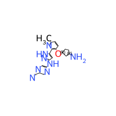 Cc1ccc(O[C@@H]2CC[C@@H](N)C2)c(-c2cc(Nc3cnc(C#N)cn3)n[nH]2)n1